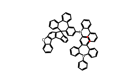 c1ccc(-c2ccccc2N(c2ccc3c(c2)-c2ccccc2N(c2ccccc2)c2ccccc2-3)c2ccc3c(c2)-c2ccccc2-c2ccccc2C32c3ccccc3-c3c2ccc2oc4ccccc4c32)cc1